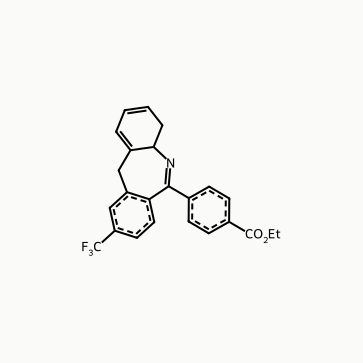 CCOC(=O)c1ccc(C2=NC3CC=CC=C3Cc3cc(C(F)(F)F)ccc32)cc1